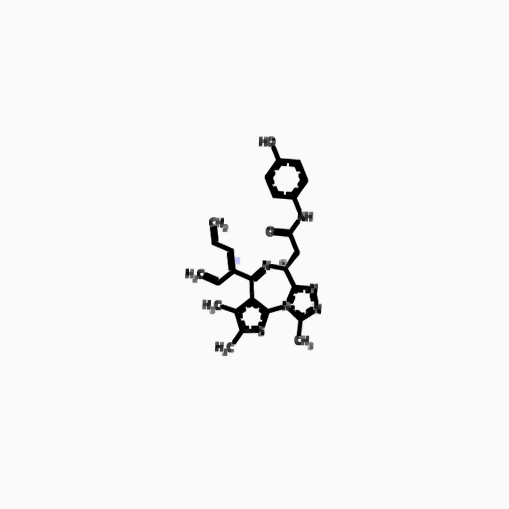 C=C/C=C(\C=C)C1=N[C@@H](CC(=O)Nc2ccc(O)cc2)c2nnc(C)n2-c2sc(C)c(C)c21